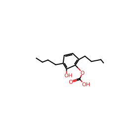 CCCCc1ccc(CCCC)c(OC(=O)O)c1O